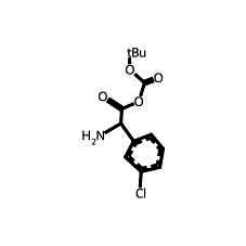 CC(C)(C)OC(=O)OC(=O)C(N)c1cccc(Cl)c1